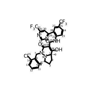 C[C@]12CCCN1N(Cc1c(F)cccc1Cl)C(=O)C(C(=O)Nc1ccc(C(F)(F)F)cc1-c1cc(C(F)(F)F)ncn1)=C2O